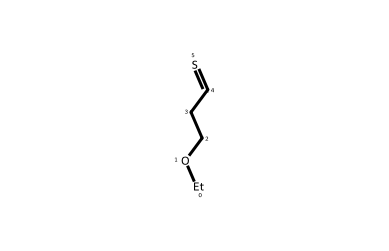 CCOCC[C]=S